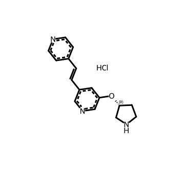 C(=Cc1cncc(O[C@@H]2CCNC2)c1)c1ccncc1.Cl